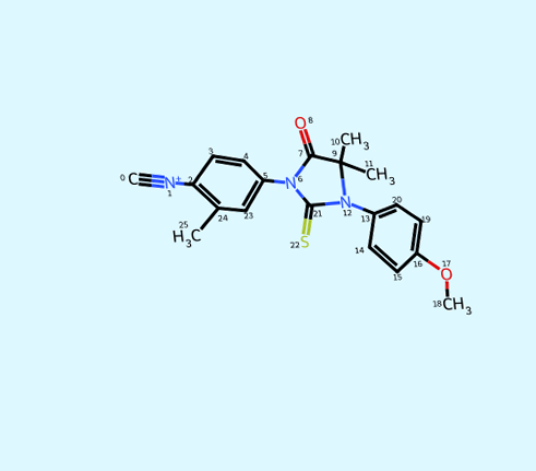 [C-]#[N+]c1ccc(N2C(=O)C(C)(C)N(c3ccc(OC)cc3)C2=S)cc1C